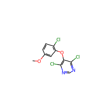 COc1ccc(Cl)c(Oc2c(Cl)ncnc2Cl)c1